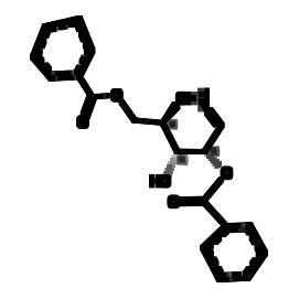 N=C[C@H](OC(=O)c1ccccc1)[C@H](O)[C@H](O)COC(=O)c1ccccc1